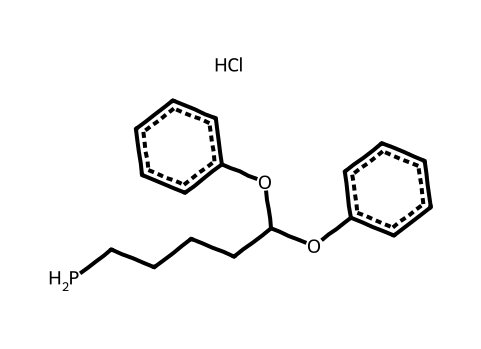 Cl.PCCCCC(Oc1ccccc1)Oc1ccccc1